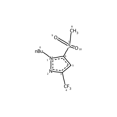 CCCCn1nc(C(F)(F)F)cc1S(C)(=O)=O